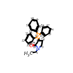 CCN1CCC(=P(c2ccccc2)(c2ccccc2)c2ccccc2)C1=O